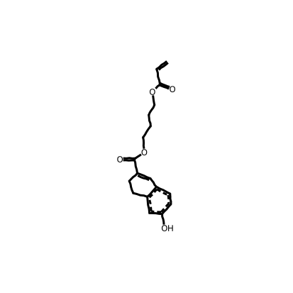 C=CC(=O)OCCCCOC(=O)C1=Cc2ccc(O)cc2CC1